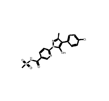 Cc1nn(-c2ccc(C(=O)NS(C)(=O)=O)cn2)c(O)c1-c1ccc(Cl)cc1